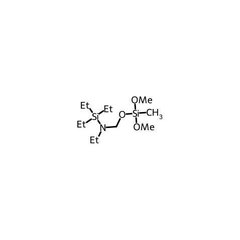 CCN(CO[Si](C)(OC)OC)[Si](CC)(CC)CC